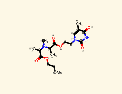 BN(C(C)C(=O)OCCOC)C(C)C(=O)OCCn1cc(C)c(=O)[nH]c1=O